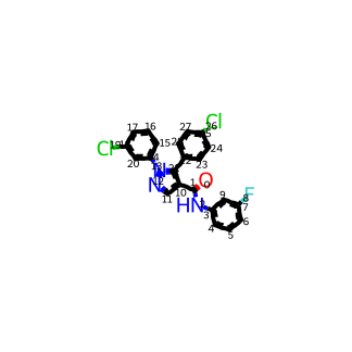 O=C(Nc1cccc(F)c1)c1cnn(-c2cccc(Cl)c2)c1-c1ccc(Cl)cc1